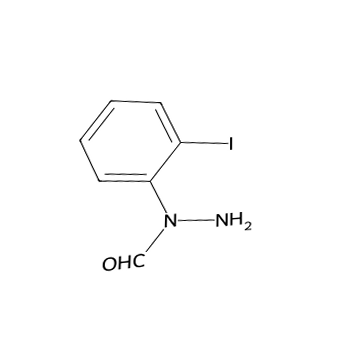 NN(C=O)c1ccccc1I